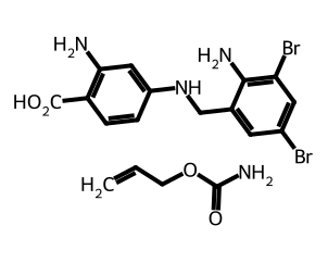 C=CCOC(N)=O.Nc1cc(NCc2cc(Br)cc(Br)c2N)ccc1C(=O)O